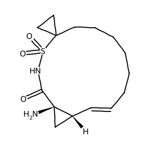 N[C@]12C[C@H]1/C=C/CCCCCCC1(CC1)S(=O)(=O)NC2=O